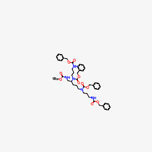 CC(C)(C)OC(=O)NCC(CCCN(CCCNC(=O)OCc1ccccc1)C(=O)OCc1ccccc1)N(CCCNC(=O)OCc1ccccc1)C(=O)OCc1ccccc1